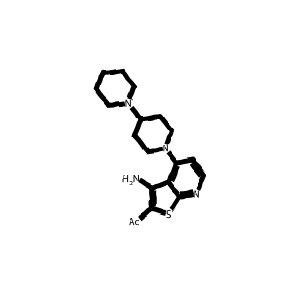 CC(=O)c1sc2nccc(N3CCC(N4CCCCC4)CC3)c2c1N